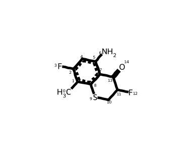 Cc1c(F)cc(N)c2c1SCC(F)C2=O